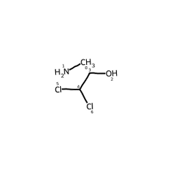 CN.OCC(Cl)Cl